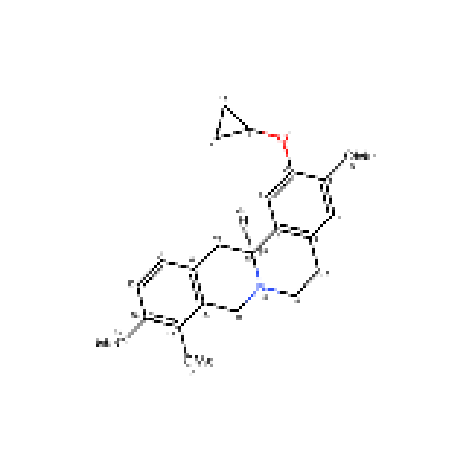 COc1cc2c(cc1OC1CC1)[C@@H]1Cc3ccc(OC)c(OC)c3CN1CC2